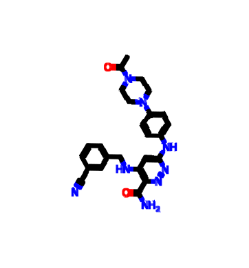 CC(=O)N1CCN(c2ccc(Nc3cc(NCc4cccc(C#N)c4)c(C(N)=O)nn3)cc2)CC1